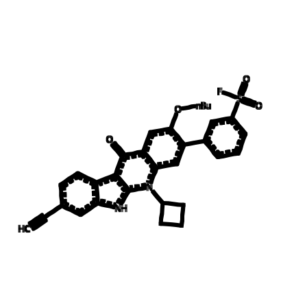 C#Cc1ccc2c(c1)[nH]c1c2c(=O)c2cc(OCCCC)c(-c3cccc(S(=O)(=O)F)c3)cc2n1C1CCC1